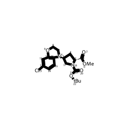 COC(=O)[C@H]1C[C@H](N2CCOc3cc(Cl)ccc32)CN1C(=O)OC(C)(C)C